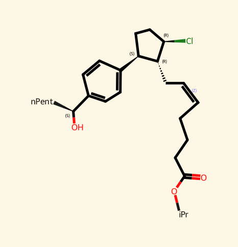 CCCCC[C@H](O)c1ccc([C@H]2CC[C@@H](Cl)[C@@H]2C/C=C\CCCC(=O)OC(C)C)cc1